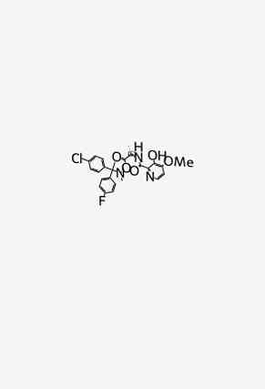 COc1ccnc(C(=O)N[C@@H](C)C(=O)ON(C)C(C)(c2ccc(F)cc2)c2ccc(Cl)cc2)c1O